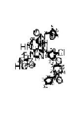 O=C(NCc1ccco1)C1=Cc2c(ncnc2Nc2ccc(OC3CCN(C(=O)C4CCCC4)CC3)c(Cl)c2)NCC1.O=C(O)C(F)(F)F